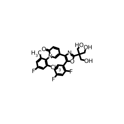 Cc1cc(F)cc(C)c1-n1cc(-c2nc(C(CO)(CO)CO)oc2-c2ccc(F)cc2F)ccc1=O